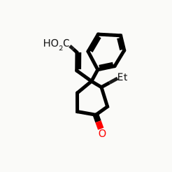 CCC1CC(=O)CCC1(C=CC(=O)O)c1ccccc1